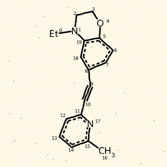 CCN1CCOc2ccc(C#Cc3cccc(C)n3)cc21